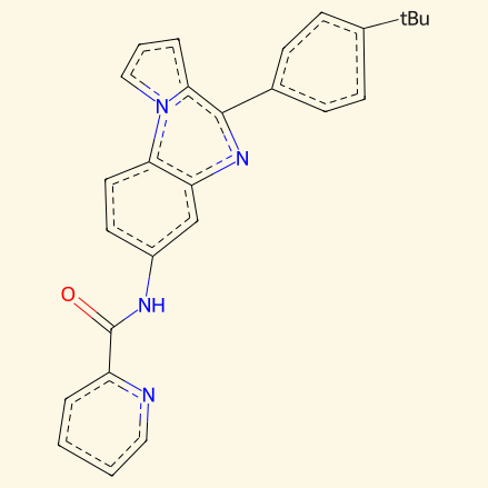 CC(C)(C)c1ccc(-c2nc3cc(NC(=O)c4ccccn4)ccc3n3cccc23)cc1